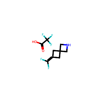 FC(F)=C1CC2(CNC2)C1.O=C(O)C(F)(F)F